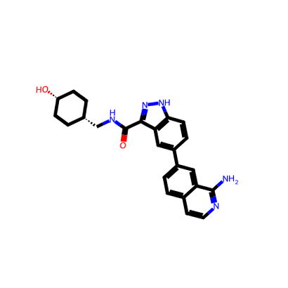 Nc1nccc2ccc(-c3ccc4[nH]nc(C(=O)NC[C@H]5CC[C@@H](O)CC5)c4c3)cc12